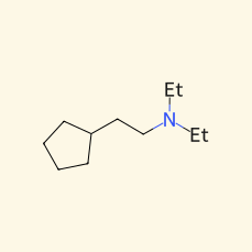 CCN(CC)CCC1CCCC1